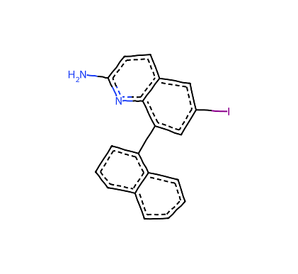 Nc1ccc2cc(I)cc(-c3cccc4ccccc34)c2n1